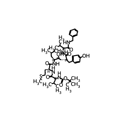 CSCC[C@H](NC(=O)[C@@H](NC(=O)OC(C)(C)C)C(C)C)C(=O)N[C@@H](CC(C)C)[C@@H](O)C[C@@H](Cc1ccc(O)cc1)C(=O)N[C@H](C(=O)NCc1ccccc1)C(C)C